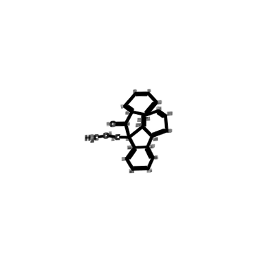 COCC1(C(=O)c2ccccc2)c2ccccc2-c2ccccc21